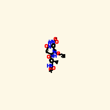 COC(=O)Nc1ccc2c(c1)NC(=O)CCCC[C@H](NC(=O)c1ccc(CNC(=O)OC(C)(C)C)c(C3CC3)c1)c1nc-2cn1COCC[Si](C)(C)C